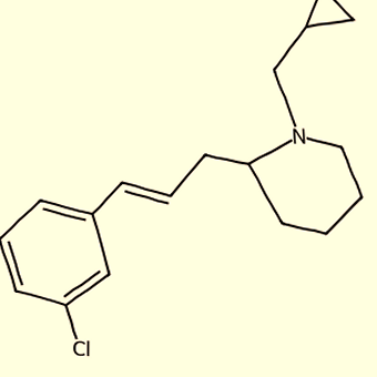 Clc1cccc(/C=C/CC2CCCCN2CC2CC2)c1